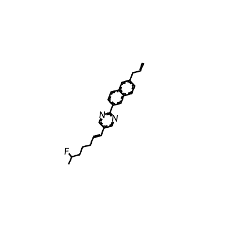 C=CCc1ccc2cc(-c3ncc(C=CCCCC(C)F)cn3)ccc2c1